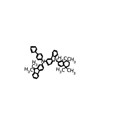 CC1(C)CCC(C)(C)c2cc(-n3c4ccccc4c4cc(N(c5ccc(-c6ccccc6)cc5)c5ccc6c(c5)C(C)(C)c5ccccc5-6)ccc43)ccc21